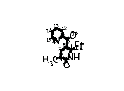 CCc1[nH]c(=O)c(C)cc1C(=O)c1ccccn1